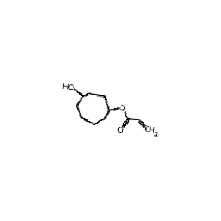 C=CC(=O)OC1CCCCC(O)CC1